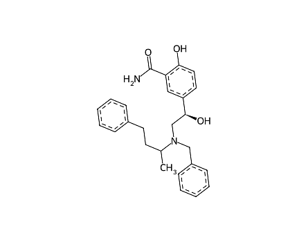 CC(CCc1ccccc1)N(Cc1ccccc1)C[C@H](O)c1ccc(O)c(C(N)=O)c1